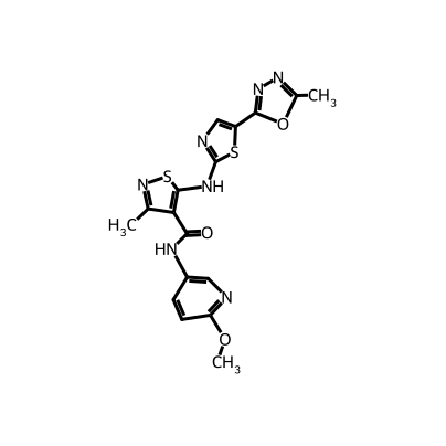 COc1ccc(NC(=O)c2c(C)nsc2Nc2ncc(-c3nnc(C)o3)s2)cn1